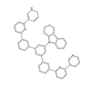 C1=CC(c2cccc(-c3cccc(-c4cc(-c5cccc(-c6cccc(-c7cccnc7)n6)c5)cc(-n5c6ccccc6c6ccccc65)c4)c3)n2)=CNC1